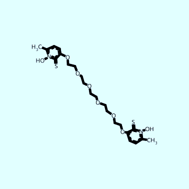 Cc1ccc(OCCOCCOCCOCCOCCOc2ccc(C)n(O)c2=S)c(=S)n1O